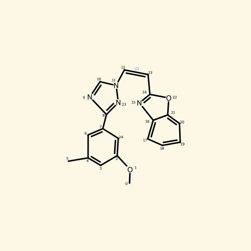 COc1cc(C)cc(-c2ncn(/C=C\c3nc4ccccc4o3)n2)c1